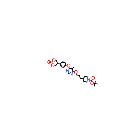 Cc1c(OCCCC2CCN(C(=O)OC(C)(C)C)CC2)ncnc1Oc1ccc(C2COS(=O)OC2)cc1